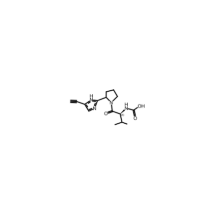 C#Cc1cnc(C2CCCN2C(=O)[C@@H](NC(=O)O)C(C)C)[nH]1